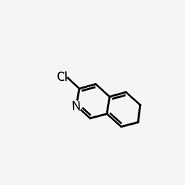 Clc1cc2c(cn1)=CCCC=2